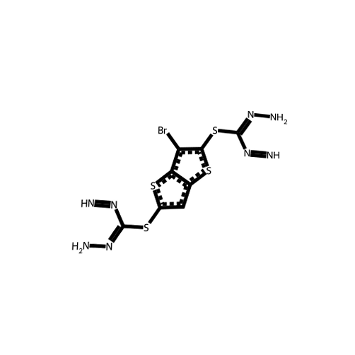 N=NC(=NN)Sc1cc2sc(SC(N=N)=NN)c(Br)c2s1